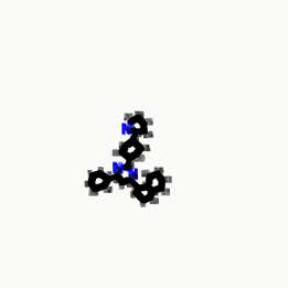 c1ccc(-c2cc(-c3cccc4ccccc34)nc(-c3ccc(-c4ccccn4)cc3)n2)cc1